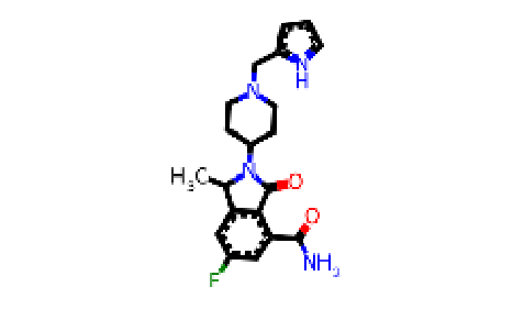 CC1c2cc(F)cc(C(N)=O)c2C(=O)N1C1CCN(Cc2ccc[nH]2)CC1